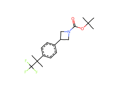 CC(C)(C)OC(=O)N1CC(c2ccc(C(C)(C)C(F)(F)F)cc2)C1